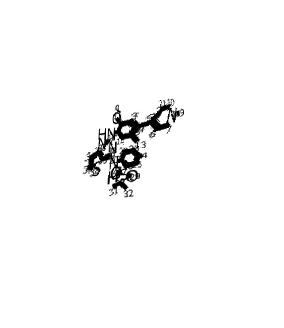 COc1cc(C2CCN(C)CC2)c(C)cc1Nc1nc(Nc2ccccc2S(=O)(=O)C(C)C)c2sccc2n1